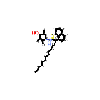 CCCCCCCCCCCCC(C(=S)Nc1cc(C)c(O)c(C)c1C)c1cccc2ccccc12